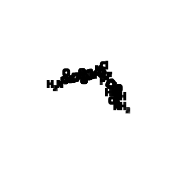 NCC(=O)NNC(=O)[C@H]1CC[C@H](C(F)(F)c2cc(Cl)nc(N3CCN(S(=O)(=O)c4ccc(N5C[C@H](N)CC5=O)cc4)CC3)c2)CC1